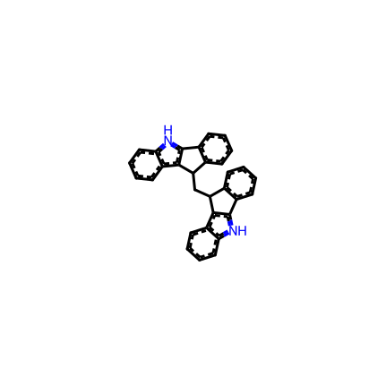 c1ccc2c(c1)-c1[nH]c3ccccc3c1C2CC1c2ccccc2-c2[nH]c3ccccc3c21